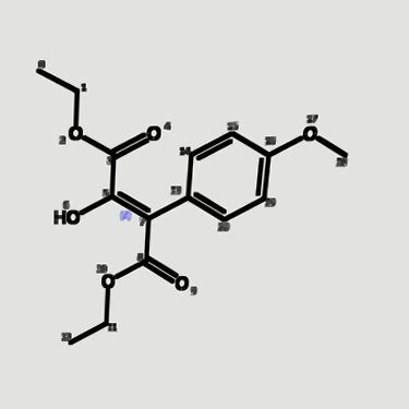 CCOC(=O)/C(O)=C(/C(=O)OCC)c1ccc(OC)cc1